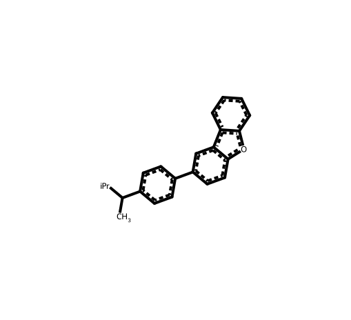 CC(C)C(C)c1ccc(-c2ccc3oc4ccccc4c3c2)cc1